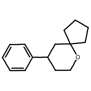 c1ccc(C2CCOC3(CCCC3)C2)cc1